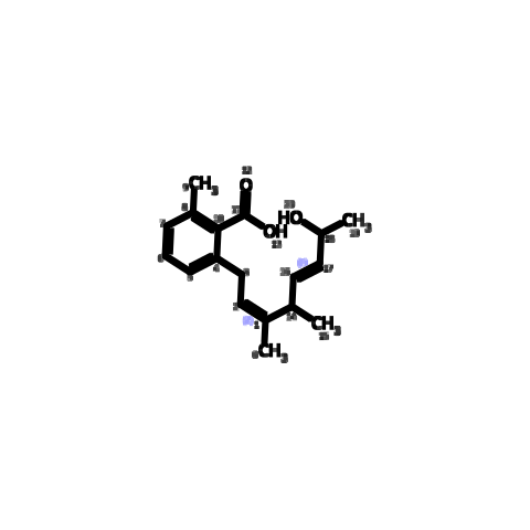 C/C(=C/Cc1cccc(C)c1C(=O)O)C(C)/C=C/C(C)O